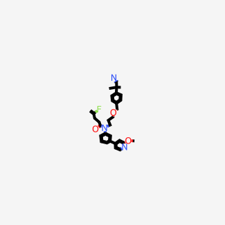 C=C(F)CCC(=O)N(CCCOCc1ccc(C(C)(C)C#N)cc1)c1cccc(-c2ccnc(OC)c2)c1